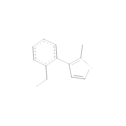 CCc1ccccc1C1=C(C)[N]C=C1